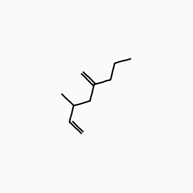 C=CC(C)CC(=C)CCC